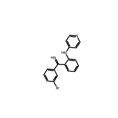 N=C(c1cccc(Br)c1)c1ccccc1Nc1ccncc1